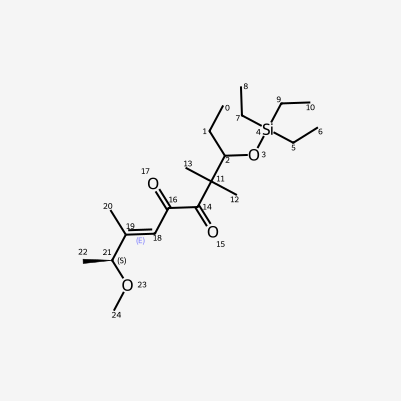 CCC(O[Si](CC)(CC)CC)C(C)(C)C(=O)C(=O)/C=C(\C)[C@H](C)OC